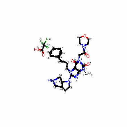 Cn1c(=O)n(CC(=O)N2CCOCC2)c(=O)c2c1nc(N1CCC3CNCC31)n2CC=Cc1ccccc1.O=C(O)C(F)(F)F